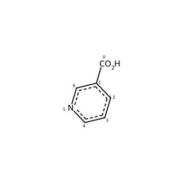 O=C(O)c1[c]ccnc1